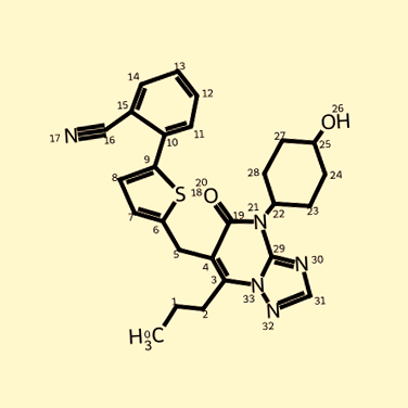 CCCc1c(Cc2ccc(-c3ccccc3C#N)s2)c(=O)n(C2CCC(O)CC2)c2ncnn12